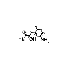 CC1CC=C(N)C=C1CC(O)C(=O)O